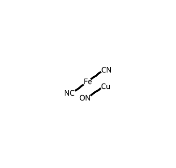 N#[C][Fe][C]#N.O=[N][Cu]